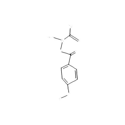 CCCCCN(SC(=O)c1ccc(OCC)cc1)C(N)=O